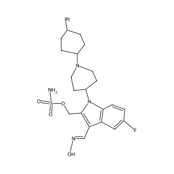 CC(C)C1CCC(N2CCC(n3c(COS(N)(=O)=O)c(C=NO)c4cc(F)ccc43)CC2)CC1